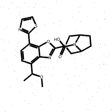 COC(C)c1ccc(-c2nccs2)c2oc(N3CC4CCC(C3)N4C(=O)O)nc12